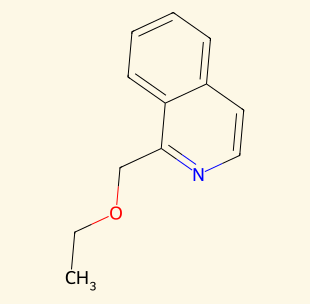 CCOCc1nccc2ccccc12